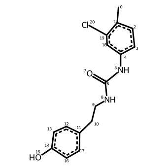 Cc1ccc(NC(=O)NCCc2ccc(O)cc2)cc1Cl